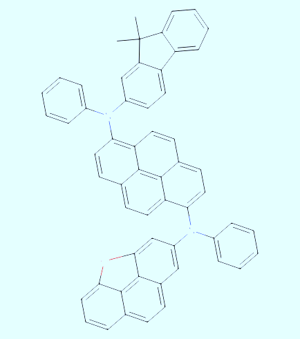 CC1(C)c2ccccc2-c2ccc(N(c3ccccc3)c3ccc4ccc5c(N(c6ccccc6)c6cc7ccc8cccc9oc(c6)c7c89)ccc6ccc3c4c65)cc21